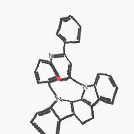 c1ccc(-c2cc(-n3c4c(c5ccccc53)CCc3c-4n(-c4ccccc4)c4ccccc34)ccn2)cc1